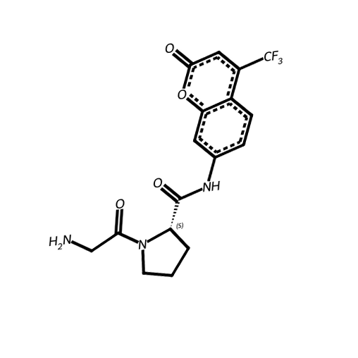 NCC(=O)N1CCC[C@H]1C(=O)Nc1ccc2c(C(F)(F)F)cc(=O)oc2c1